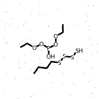 CCCCSSSS.CCOOP(O)OOCC